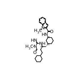 CN(C=O)C(=N)N[C@H](CCC1CCCCC1)C[C@H]1CCC[C@@H](NC(=O)c2cc3ccccc3n2C)C1